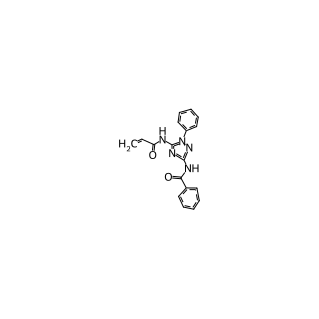 C=CC(=O)Nc1nc(NC(=O)c2ccccc2)nn1-c1ccccc1